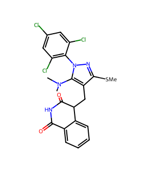 CSc1nn(-c2c(Cl)cc(Cl)cc2Cl)c(N(C)C)c1CC1C(=O)NC(=O)c2ccccc21